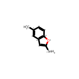 Cc1ccc2o[c]([SnH3])cc2c1